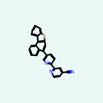 N#Cc1ccnc(-c2ccc(-c3cc4sc5ccccc5c4c4ccccc34)cn2)c1